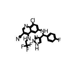 N#Cc1cnc2c(Cl)cc(NC(c3ccc(F)cc3)c3c[nH]nn3)cc2c1NCC(F)(F)F